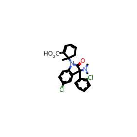 CN(C)C1(c2ccccc2Cl)C(=O)N(C2(C)CC=CC=C2C(=O)O)c2ccc(Cl)cc21